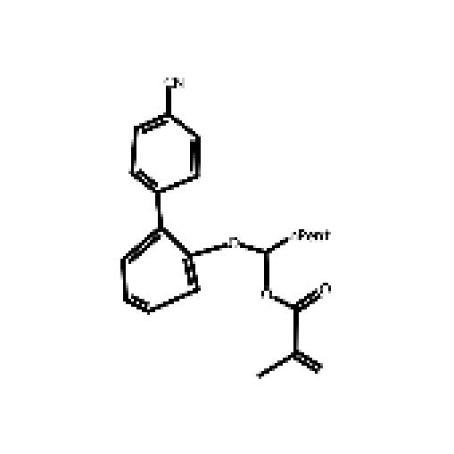 C=C(C)C(=O)OC(CCCCC)Oc1ccccc1-c1ccc(C#N)cc1